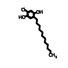 CCCCCCCCCCCCc1cc(O)c(Cl)cc1O